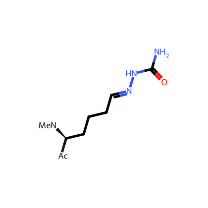 CN[C@@H](CCC/C=N/NC(N)=O)C(C)=O